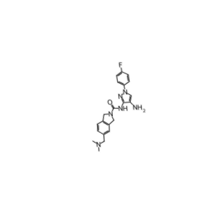 CN(C)Cc1ccc2c(c1)CN(C(=O)Nc1nn(-c3ccc(F)cc3)cc1N)C2